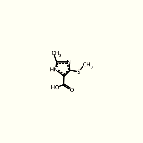 CSc1nc(C)[nH]c1C(=O)O